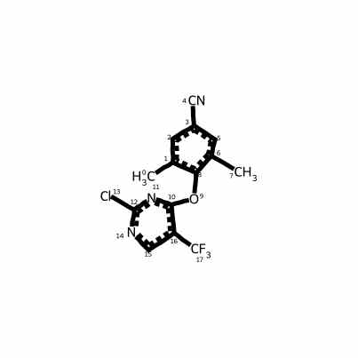 Cc1cc(C#N)cc(C)c1Oc1nc(Cl)ncc1C(F)(F)F